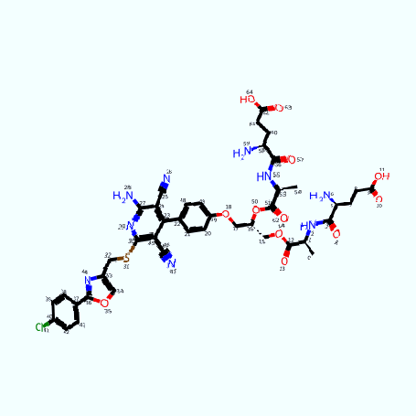 C[C@H](NC(=O)[C@@H](N)CCC(=O)O)C(=O)OC[C@H](COc1ccc(-c2c(C#N)c(N)nc(SCc3coc(-c4ccc(Cl)cc4)n3)c2C#N)cc1)OC(=O)[C@H](C)NC(=O)[C@@H](N)CCC(=O)O